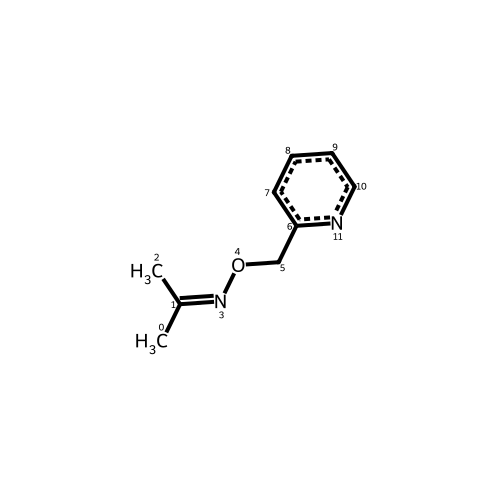 CC(C)=NOCc1ccccn1